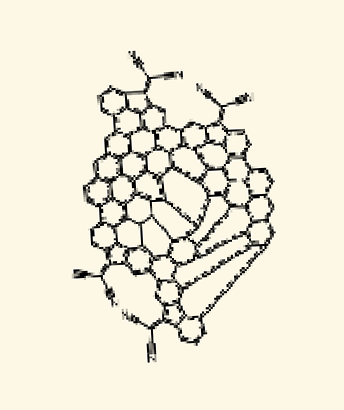 C#C/C(C#N)=c1/c2cc3c4cc5c(=C(C#N)C#N)c6cccc7c8cc9cc%10ccc%11c%12ccc%13c(=C(C#N)C#N)c%14cc%15c%16cc%17c(=C(C#N)C#N)c%18cccc%19c%20cc%21cc%22ccc%23c%24ccc1c1c2c2c3c3c%25c%26c%27c%28c%29c%30c(c(c%241)C2C%25%29)c%23c%22c1c%21c2c%20c(c%17c%18%19)c%16c%16c%17c%15c%15c%14c%13c%12c%12c%13c%11c%10c%10c9c9c8c(c5c67)c4c3c9c%26c%10c%13c%27c(c%17c%28c(c%301)c2%16)c%15%12